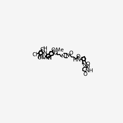 COc1cc(Nc2c(C#N)cnc3cc(OCCCN4CCN(C(=O)CCCC(=O)Nc5cccc6c5CN(C5CCC(=O)NC5=O)C6=O)CC4)c(OC)cc23)c(Cl)cc1Cl